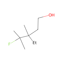 CCC(C)(CCO)C(C)(C)F